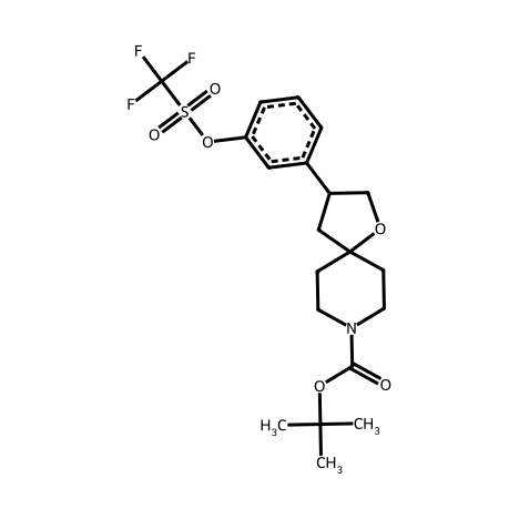 CC(C)(C)OC(=O)N1CCC2(CC1)CC(c1cccc(OS(=O)(=O)C(F)(F)F)c1)CO2